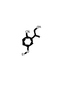 [CH2]C(CO)c1cc(OCC)ccc1C#N